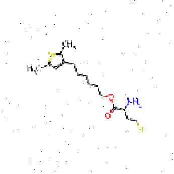 Cc1cc(CCCCCCOC(=O)C(N)CCS)c(C)s1